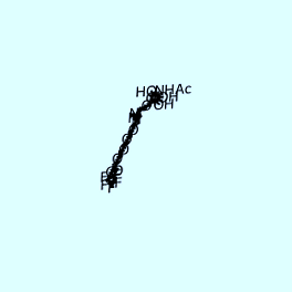 CC(=O)N[C@@H]1[C@@H](O)[C@@H](O)[C@@H](COCCc2cn(CCOCCOCCOCCOCCC(=O)Oc3c(F)c(F)c(F)c(F)c3F)nn2)O[C@H]1O